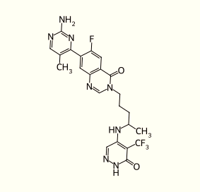 Cc1cnc(N)nc1-c1cc2ncn(CCCC(C)Nc3cn[nH]c(=O)c3C(F)(F)F)c(=O)c2cc1F